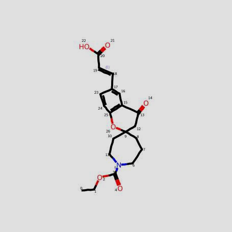 CCOC(=O)N1CCCC2(CC1)CC(=O)c1cc(/C=C/C(=O)O)ccc1O2